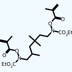 C=C(C)C(=O)ON(CCC(C)(C)CC(C)CN(OC(=O)C(=C)C)C(=O)OCC)C(=O)OCC